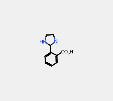 O=C(O)c1ccccc1C1NCCN1